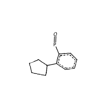 O=Pc1ccccc1C1CCCC1